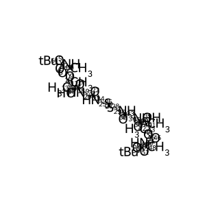 C[C@H](NC(=O)OC(C)(C)C)C(=O)OCC(C)(C)[C@@H](O)C(=O)NCCC(=O)NCCSSCCNC(=O)CCNC(=O)[C@H](O)C(C)(C)COC(=O)[C@H](C)NC(=O)OC(C)(C)C